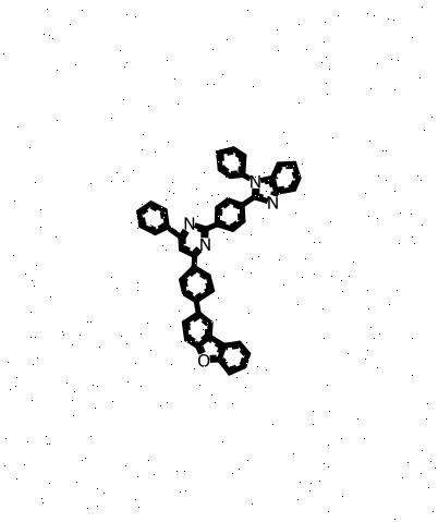 c1ccc(-c2cc(-c3ccc(-c4ccc5oc6ccccc6c5c4)cc3)nc(-c3ccc(-c4nc5ccccc5n4-c4ccccc4)cc3)n2)cc1